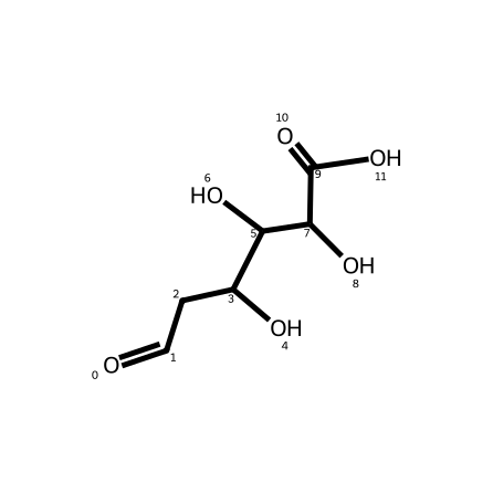 O=CCC(O)C(O)C(O)C(=O)O